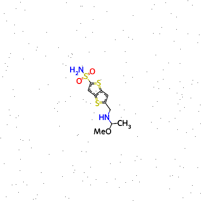 COC(C)NCc1cc2sc(S(N)(=O)=O)cc2s1